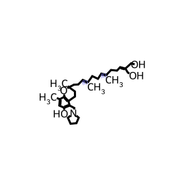 C/C(=C\CC/C(C)=C/CCC1(C)CCc2c(CN3CCCC3)c(O)cc(C)c2O1)CCC=C(CO)CO